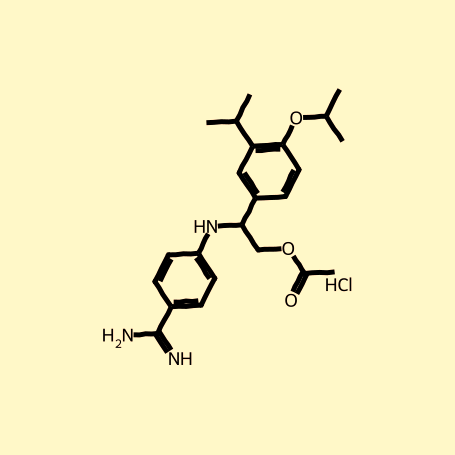 CC(=O)OCC(Nc1ccc(C(=N)N)cc1)c1ccc(OC(C)C)c(C(C)C)c1.Cl